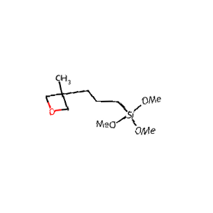 CO[Si](CCCC1(C)COC1)(OC)OC